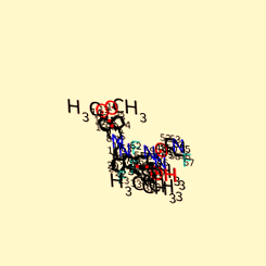 COc1ccc(CN(Cc2ccc(OC)cc2)c2cc3ccc(F)c(C#C[Si](C(C)C)(C(C)C)C(C)C)c3c(-c3c(F)cc4c(O)nc(OC[C@@]56CCCN5C[C@H](F)C6)nc4c3F)n2)cc1